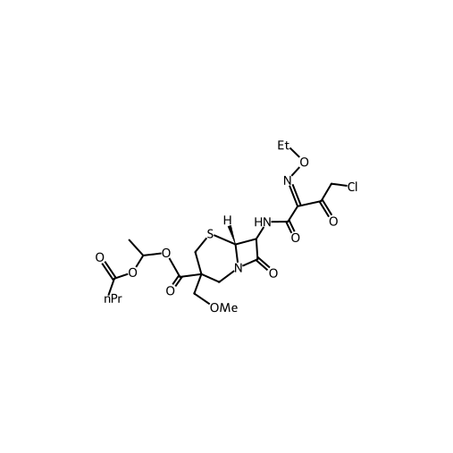 CCCC(=O)OC(C)OC(=O)C1(COC)CS[C@@H]2C(NC(=O)C(=NOCC)C(=O)CCl)C(=O)N2C1